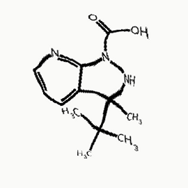 CC(C)(C)C1(C)NN(C(=O)O)c2ncccc21